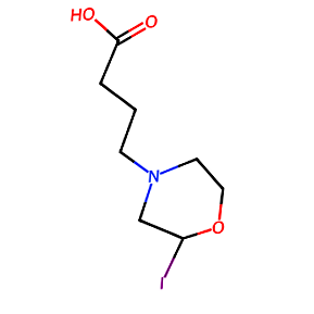 O=C(O)CCCN1CCOC(I)C1